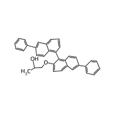 CC(O)COc1ccc2cc(-c3ccccc3)ccc2c1-c1cccc2cc(-c3ccccc3)ccc12